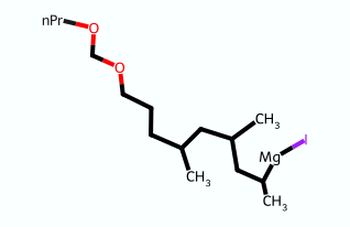 CCCOCOCCCC(C)CC(C)C[CH](C)[Mg][I]